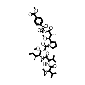 CC[C@H](C)[C@@H]([C@@H](CC(=O)N1CCCC1[C@H](OC)[C@@H](C)C(=O)NS(=O)(=O)c1ccc(C(=O)OC)cc1)OC)N(C)C(=O)C(NC(=O)C(C(C)C)N(C)C)C(C)C